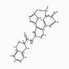 Cc1ccc(-c2nc(NC(=O)N3CCc4ncccc4C3)ccc2-c2ccc(=O)n(C(C)C)c2)o1